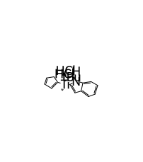 Cl.Cl.[CH2]=[Ti]([C]1=CC=CC1)([c]1cc2ccccc2[nH]1)[C](C)(C)C